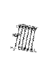 CCCCCCCCCCCCCCCCCC(=O)[O-].CCCCCCCCCCCCCCCCCC(=O)[O-].CCCCCCCCCCCCCCCCCC(=O)[O-].CCCCCCCCCCCCCCCCCC(=O)[O-].CCCCCCCCCCCCCCCCCC(=O)[O-].CCCCCCCCCCCCCCCCCC(=O)[O-].[Co+2].[Mo+4]